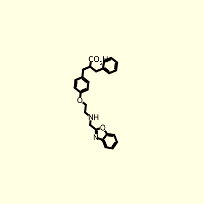 O=C(O)C(Cc1ccccc1)Cc1ccc(OCCNCc2nc3ccccc3o2)cc1